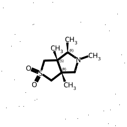 C[C@H]1N(C)C[C@]2(C)CS(=O)(=O)C[C@]12C